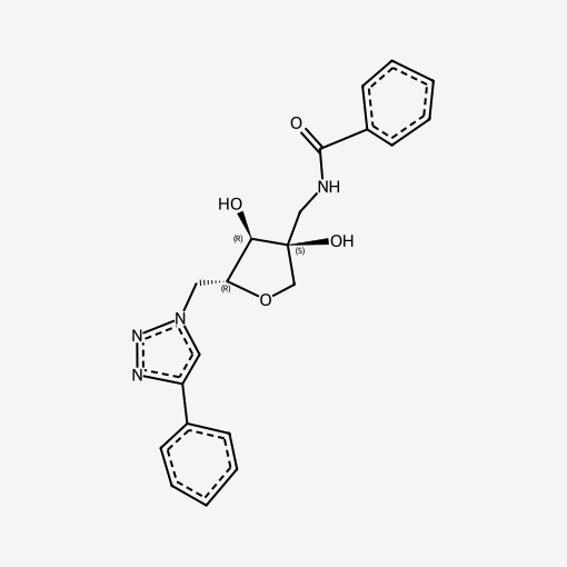 O=C(NC[C@]1(O)CO[C@H](Cn2cc(-c3ccccc3)nn2)[C@H]1O)c1ccccc1